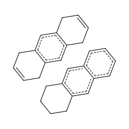 C1=CCc2cc3c(cc2C1)CC=CC3.c1ccc2cc3c(cc2c1)CCCC3